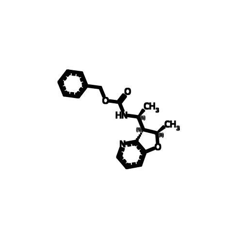 C[C@H](NC(=O)OCc1ccccc1)[C@H]1c2ncccc2O[C@@H]1C